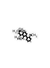 COc1ccccc1-c1ccc2c(c1CO)C(C)=CC(C)(C)N2